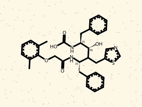 Cc1cccc(C)c1OCC(=O)N[C@@H](Cc1ccccc1)C(Cc1cncs1)[C@@H](O)[C@H](Cc1ccccc1)NC(=O)O